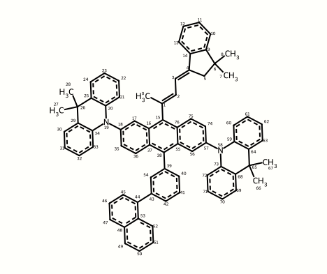 C/C(=C\C=C1/CC(C)(C)c2ccccc21)c1c2cc(N3c4ccccc4C(C)(C)c4ccccc43)ccc2c(-c2cccc(-c3cccc4ccccc34)c2)c2cc(N3c4ccccc4C(C)(C)c4ccccc43)ccc12